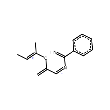 C=C(/C=N\C(=N)c1ccccc1)O/C(C)=C/C